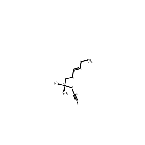 CC/C=C/CC[C@@](C)(O)CC#N